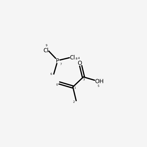 C=C(C)C(=O)O.CP(Cl)Cl